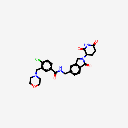 O=C1CCC(N2Cc3cc(CNC(=O)c4ccc(Cl)c(CN5CCOCC5)c4)ccc3C2=O)C(=O)N1